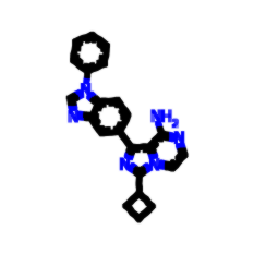 Nc1nccn2c(C3CCC3)nc(-c3ccc4c(c3)ncn4-c3ccccc3)c12